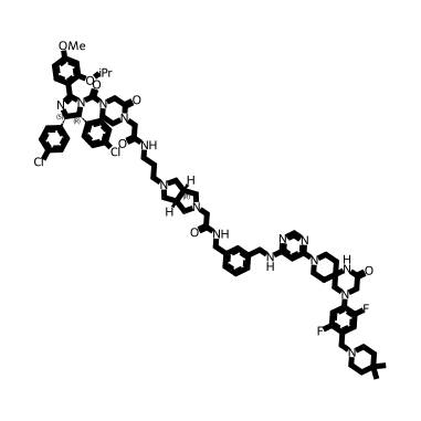 COc1ccc(C2=N[C@@H](c3ccc(Cl)cc3)[C@@H](c3ccc(Cl)cc3)N2C(=O)N2CCN(CC(=O)NCCCN3C[C@@H]4CN(CC(=O)NCc5cccc(CNc6cc(N7CCC8(CC7)CN(c7cc(F)c(CN9CCC(C)(C)CC9)cc7F)CC(=O)N8)ncn6)c5)C[C@@H]4C3)C(=O)C2)c(OC(C)C)c1